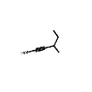 CCC(C)C#C[NH]